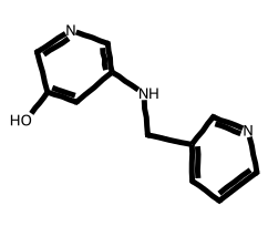 Oc1cncc(NCc2cccnc2)c1